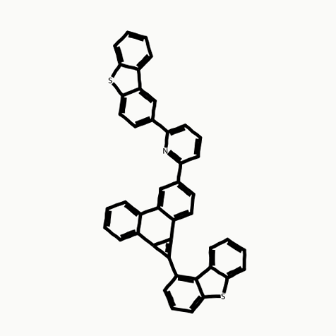 c1cc(-c2ccc3c(c2)-c2ccccc2C2C3=C2c2cccc3sc4ccccc4c23)nc(-c2ccc3sc4ccccc4c3c2)c1